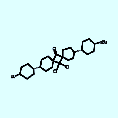 CCCC[C@H]1CC[C@H](C2CCC3(CC2)C(=O)C2(CCC([C@H]4CC[C@H](CC)CC4)CC2)C3(Cl)Cl)CC1